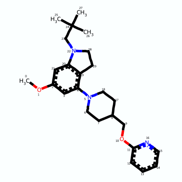 COc1cc(N2CCC(COc3ccccn3)CC2)c2c(c1)N(CC(C)(C)C)CC2